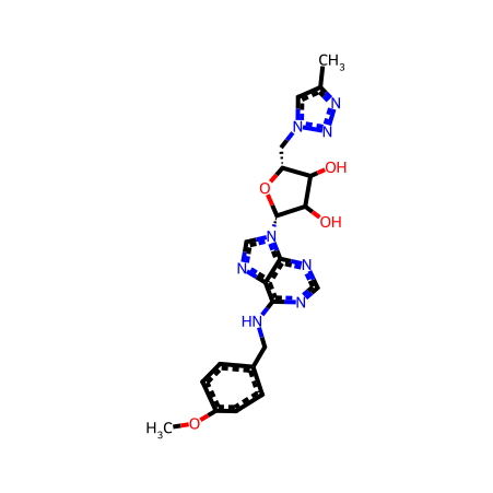 COc1ccc(CNc2ncnc3c2ncn3[C@@H]2O[C@H](Cn3cc(C)nn3)C(O)C2O)cc1